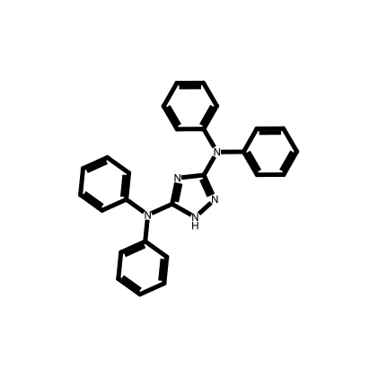 c1ccc(N(c2ccccc2)c2n[nH]c(N(c3ccccc3)c3ccccc3)n2)cc1